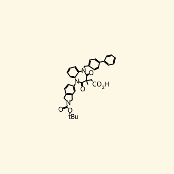 CC(C)(C)OC(=O)N1Cc2ccc(N3C(=O)C(C)(CC(=O)O)C(=O)N(Cc4ccc(-c5ccccc5)cc4)c4ccccc43)cc2C1